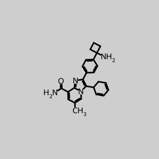 Cc1cc(C(N)=O)c2nc(-c3ccc(C4(N)CCC4)cc3)c(C3C=CC=CC3)n2c1